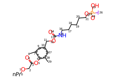 CCCOCC(=O)Oc1c(C)cc(COC(=O)NCCCCCCOP(=O)(O)I)cc1C